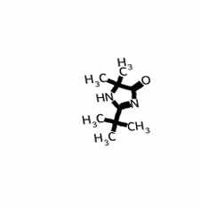 CC(C)(C)C1=NC(=O)C(C)(C)N1